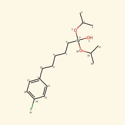 CC(C)O[Si](O)(CCCCCc1ccc(F)cc1)OC(C)C